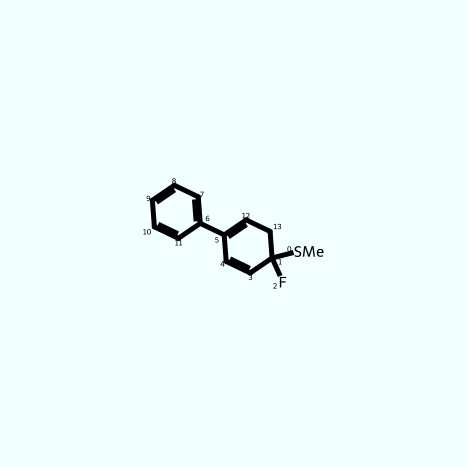 CSC1(F)C=CC(c2ccccc2)=CC1